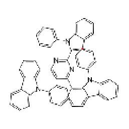 c1ccc(-n2c(-c3nc(-c4cccc5c6ccccc6n(-c6ccccc6)c45)cc(-c4cccc5c6ccccc6n(-c6ccccc6)c45)n3)cc3ccccc32)cc1